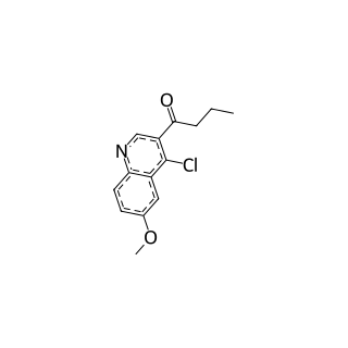 CCCC(=O)c1cnc2ccc(OC)cc2c1Cl